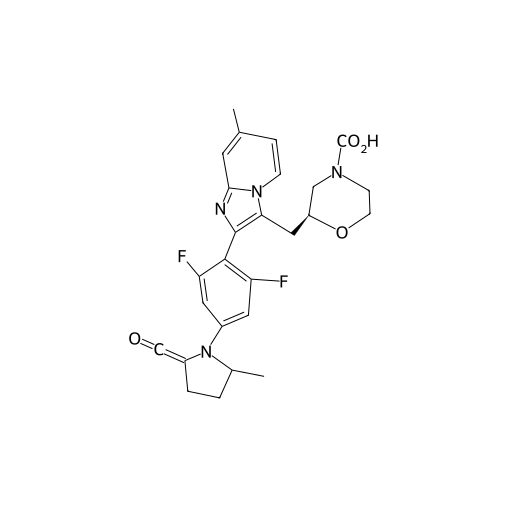 Cc1ccn2c(C[C@H]3CN(C(=O)O)CCO3)c(-c3c(F)cc(N4C(=C=O)CCC4C)cc3F)nc2c1